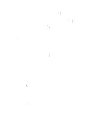 CCO[C@H]1CCCc2c(Cc3c(C)cc(NC(=O)C4=NCC(=O)N4)cc3C)ccc(O)c21